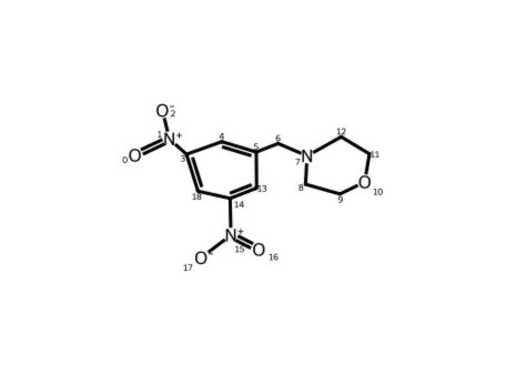 O=[N+]([O-])c1cc(CN2CCOCC2)cc([N+](=O)[O-])c1